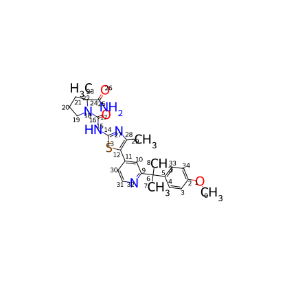 COc1ccc(C(C)(C)c2cc(-c3sc(NC(=O)N4CCC[C@@]4(C)C(N)=O)nc3C)ccn2)cc1